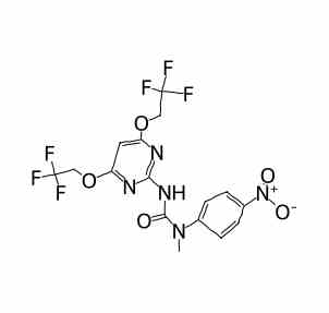 CN(C(=O)Nc1nc(OCC(F)(F)F)cc(OCC(F)(F)F)n1)c1ccc([N+](=O)[O-])cc1